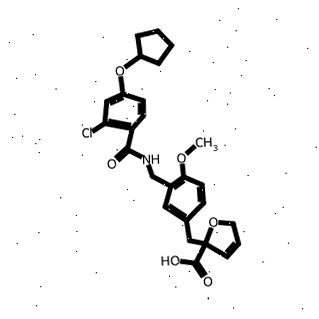 COc1ccc(CC2(C(=O)O)C=CCO2)cc1CNC(=O)c1ccc(OC2CCCC2)cc1Cl